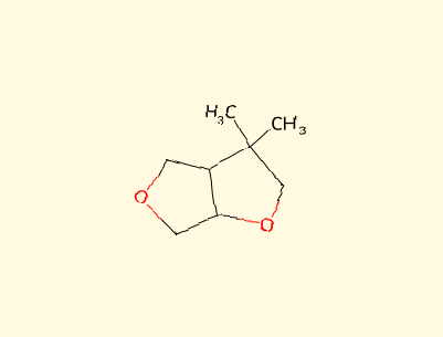 CC1(C)COC2COCC21